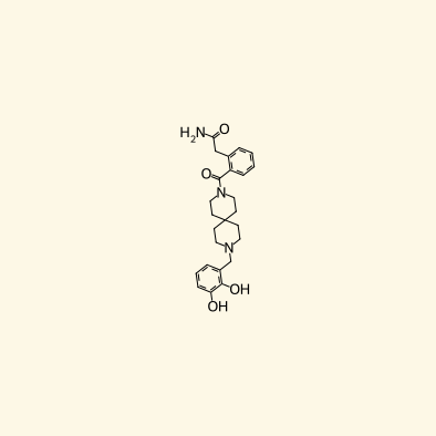 NC(=O)Cc1ccccc1C(=O)N1CCC2(CCN(Cc3cccc(O)c3O)CC2)CC1